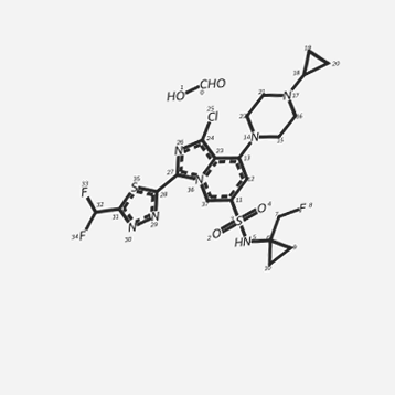 O=CO.O=S(=O)(NC1(CF)CC1)c1cc(N2CCN(C3CC3)CC2)c2c(Cl)nc(-c3nnc(C(F)F)s3)n2c1